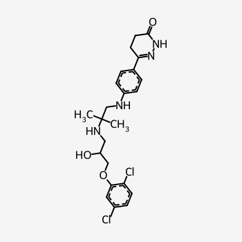 CC(C)(CNc1ccc(C2=NNC(=O)CC2)cc1)NCC(O)COc1cc(Cl)ccc1Cl